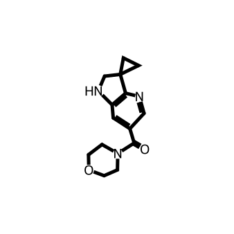 O=C(c1cnc2c(c1)NCC21CC1)N1CCOCC1